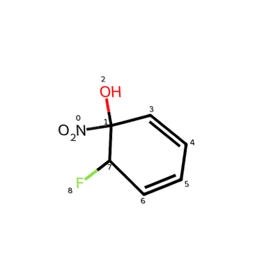 O=[N+]([O-])C1(O)C=CC=CC1F